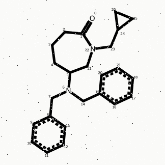 O=C1CCCC(N(Cc2ccccc2)Cc2ccccc2)CN1CC1CC1